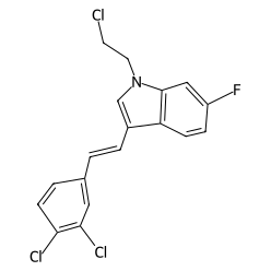 Fc1ccc2c(C=Cc3ccc(Cl)c(Cl)c3)cn(CCCl)c2c1